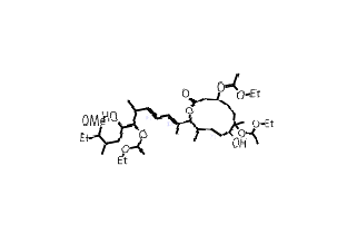 CCOC(C)OC1CCC(C)(OC(C)OCC)C(O)/C=C/C(C)C(/C(C)=C/C=C/C(C)C(OC(C)OCC)C(O)CC(C)C(CC)OC)OC(=O)C1